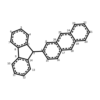 [c]1c(C2c3ccccc3-c3ccccc32)ccc2cc3ccccc3cc12